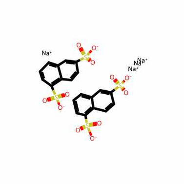 O=S(=O)([O-])c1ccc2c(S(=O)(=O)[O-])cccc2c1.O=S(=O)([O-])c1ccc2c(S(=O)(=O)[O-])cccc2c1.[Na+].[Na+].[Na+].[Na+]